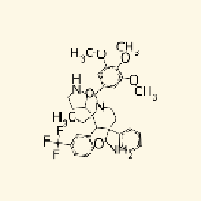 CCC1(C2CCNC2)C(c2cccc(C(F)(F)F)c2)C(C(N)=O)(c2ccccc2)CCN1C(=O)c1cc(OC)c(OC)c(OC)c1